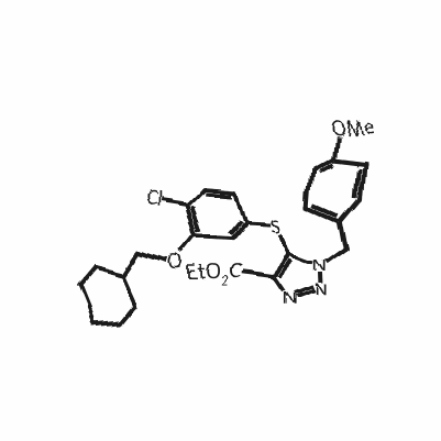 CCOC(=O)c1nnn(Cc2ccc(OC)cc2)c1Sc1ccc(Cl)c(OCC2CCCCC2)c1